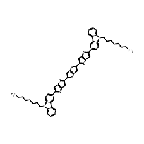 CCCCCCCCn1c2ccccc2c2cc(-c3cc4sc(-c5cc6sc(-c7cc8sc(-c9ccc%10c(c9)c9ccccc9n%10CCCCCCCC)cc8s7)cc6s5)cc4s3)ccc21